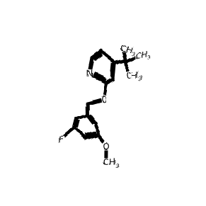 COc1cc(F)cc(COc2cc(C(C)(C)C)ccn2)c1